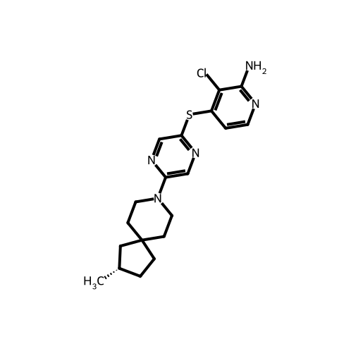 C[C@H]1CCC2(CCN(c3cnc(Sc4ccnc(N)c4Cl)cn3)CC2)C1